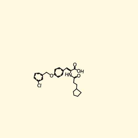 O=C(CCC1CCCC1)NC(=Cc1ccc(OCc2cccc(Cl)c2)cc1)C(=O)O